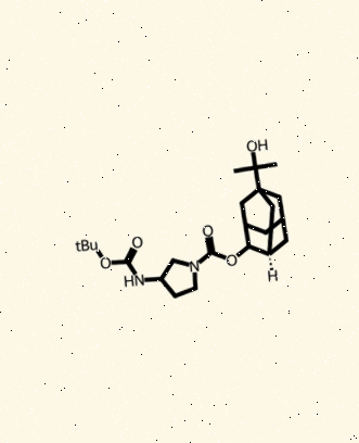 CC(C)(C)OC(=O)NC1CCN(C(=O)OC2C3CC4C[C@@H]2CC(C(C)(C)O)(C4)C3)C1